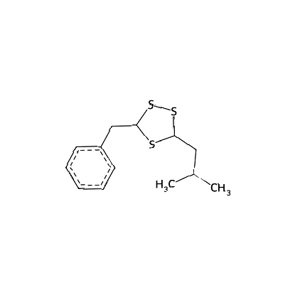 CC(C)CC1SSC(Cc2ccccc2)S1